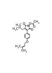 CC(=O)ON1C(=O)C(CC(C)C)=C(c2ccc(OCC=C(C)C)cc2)C1=O